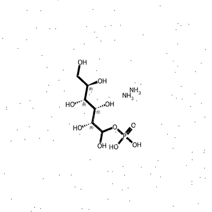 N.N.O=P(O)(O)OC(O)[C@H](O)[C@@H](O)[C@H](O)[C@H](O)CO